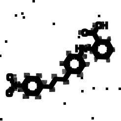 O=C(O)c1ccccc1Nc1ccc(CCCc2ccc([N+](=O)[O-])cc2)cc1